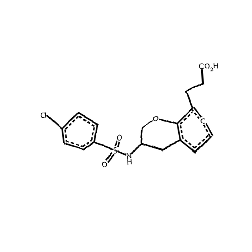 O=C(O)CCc1cccc2c1OCC(NS(=O)(=O)c1ccc(Cl)cc1)C2